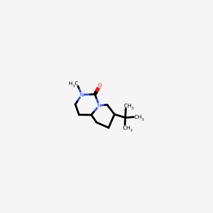 CN1CCC2CCC(C(C)(C)C)CN2C1=O